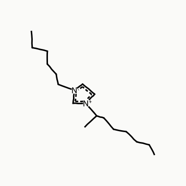 CCCCCCC(C)[n+]1ccn(CCCCCC)c1